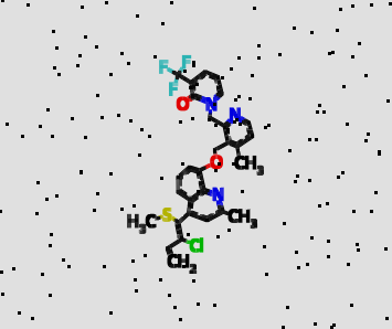 C=C/C(Cl)=C(\SC)c1cc(C)nc2c(OCc3c(C)ccnc3Cn3cccc(C(F)(F)F)c3=O)cccc12